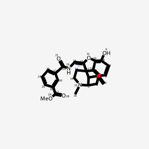 C=CC1C2Cc3ccc(O)c4c3C1(CCN2C)/C(=C\NC(=O)c1cccc(C(=O)OC)c1)O4